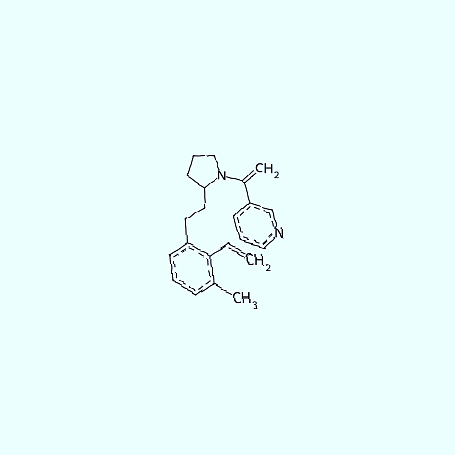 C=Cc1c(C)cccc1CCC1CCCN1C(=C)c1cccnc1